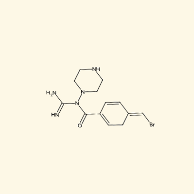 N=C(N)N(C(=O)C1=CCC(=CBr)C=C1)N1CCNCC1